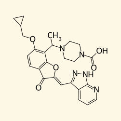 CC(c1c(OCC2CC2)ccc2c1O/C(=C\c1n[nH]c3ncccc13)C2=O)N1CCN(C(=O)O)CC1